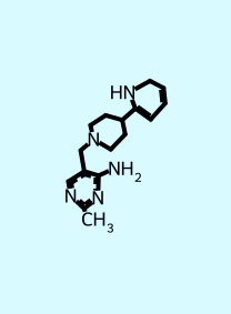 Cc1ncc(CN2CCC(C3=CC=CCN3)CC2)c(N)n1